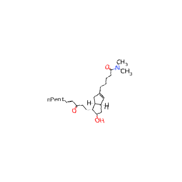 CCCCCC=CC(=O)CC[C@@H]1[C@H]2CC(CCCCC(=O)N(C)C)=C[C@H]2C[C@H]1O